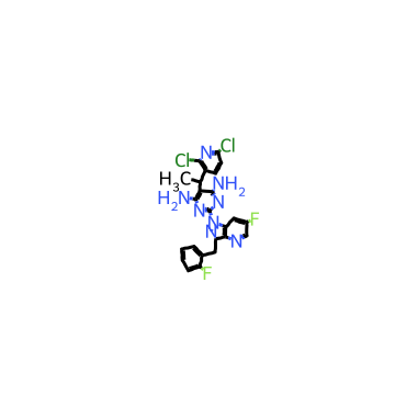 CC(c1ccc(Cl)nc1Cl)c1c(N)nc(-n2nc(Cc3ccccc3F)c3ncc(F)cc32)nc1N